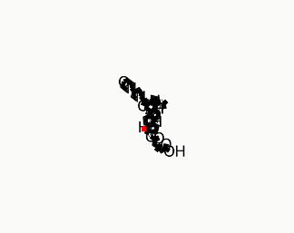 C=C(C)[C@@H]1CC[C@]2(CC(=O)N3CCC(N4CCOCC4)CC3)CC[C@]3(C)[C@H](CC[C@@H]4[C@@]5(C)CC[C@H](OC(=O)CC(C)(C)CC(=O)O)C(C)(C)[C@@H]5CC[C@]43C)[C@@H]12